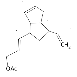 C=CC1CC(/C=C/COC(C)=O)C2C=CCC12